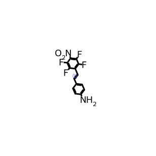 Nc1ccc(/C=C/c2c(F)c(F)c([N+](=O)[O-])c(F)c2F)cc1